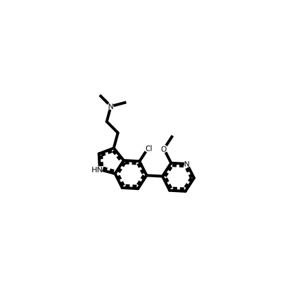 COc1ncccc1-c1ccc2[nH]cc(CCN(C)C)c2c1Cl